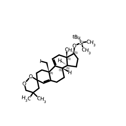 CC1(C)COOC2(C=C3CC[C@@H]4C(=CC[C@]5(C)[C@@H](O[Si](C)(C)C(C)(C)C)CC[C@@H]45)[C@@]3(CI)CC2)C1